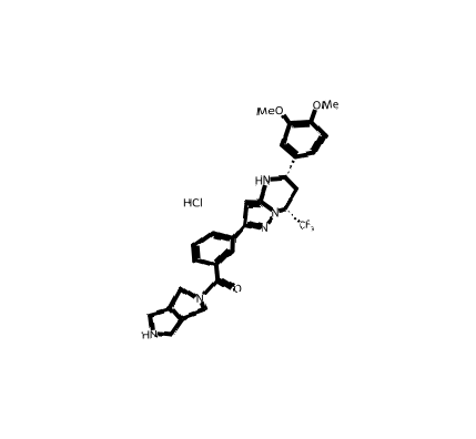 COc1ccc([C@@H]2C[C@H](C(F)(F)F)n3nc(-c4cccc(C(=O)N5CC6CNCC6C5)c4)cc3N2)cc1OC.Cl